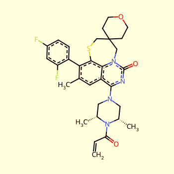 C=CC(=O)N1[C@H](C)CN(c2nc(=O)n3c4c(c(-c5ccc(F)cc5F)c(C)cc24)SCC2(CCOCC2)C3)C[C@@H]1C